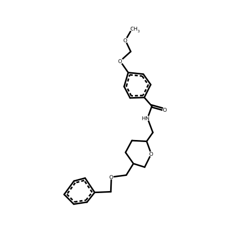 COCOc1ccc(C(=O)NCC2CCC(COCc3ccccc3)CO2)cc1